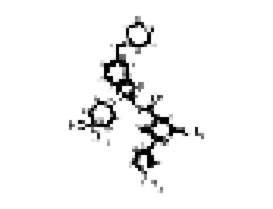 Cc1cc(C(=O)Nc2nc3cc(CN4CCOCC4)ccc3n2[C@H]2CC[C@@](C)(O)CC2)c(F)c(-c2cnn(C)c2)n1